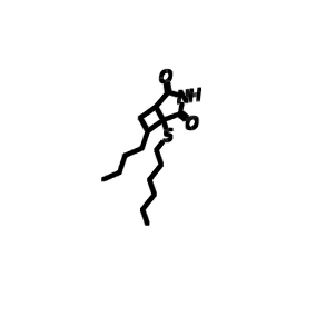 CCCCCCSC12C(=O)NC(=O)C1CC2CCCC